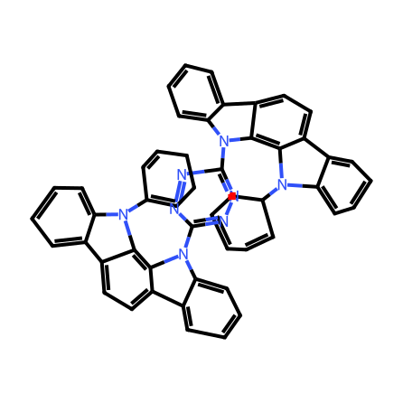 C1=CCC(n2c3ccccc3c3ccc4c5ccccc5n(-c5nnc(-n6c7ccccc7c7ccc8c9ccccc9n(C9=CCCC=C9)c8c76)nn5)c4c32)C=C1